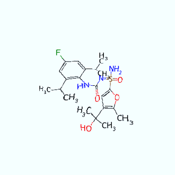 Cc1oc(S(N)(=O)=NC(=O)Nc2c(C(C)C)cc(F)cc2C(C)C)cc1C(C)(C)O